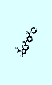 CCC(CC)N1C(=O)Cc2cnc(Nc3cccc(C(=O)N4CCOCC4)c3)nc21